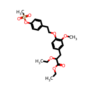 CCOC(=O)C(Cc1ccc(OCCc2ccc(OS(C)(=O)=O)cc2)c(OC)c1)OCC